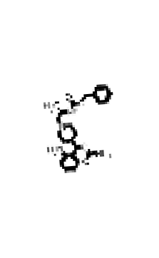 C[C@@H](CN1CCC(C(OC(N)=O)c2ccccc2N)CC1)NC(=O)OCc1ccccc1